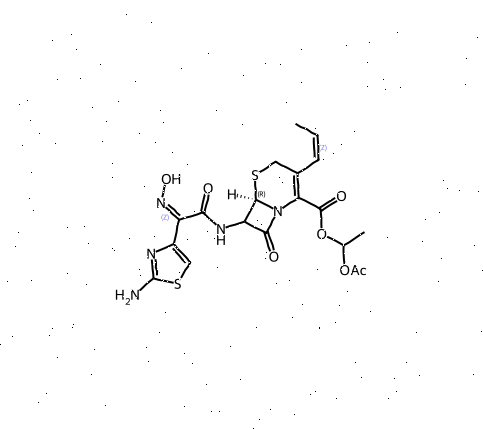 C/C=C\C1=C(C(=O)OC(C)OC(C)=O)N2C(=O)C(NC(=O)/C(=N\O)c3csc(N)n3)[C@H]2SC1